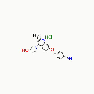 Cc1cc(N2CC[C@H](O)C2)c2ccc(OCc3ccc(C#N)cc3)cc2n1.Cl